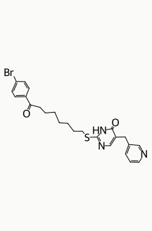 O=C(CCCCCCCSc1ncc(Cc2cccnc2)c(=O)[nH]1)c1ccc(Br)cc1